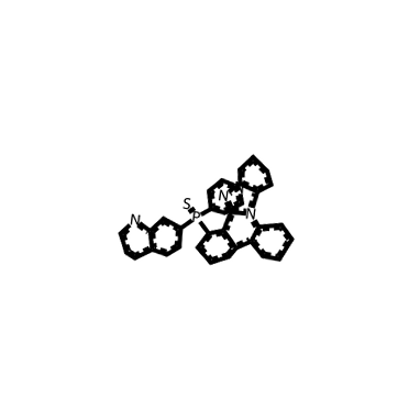 S=P(c1ccncc1)(c1ccc2cccnc2c1)c1cccc2c3ccccc3n3c4ccccc4nc3c12